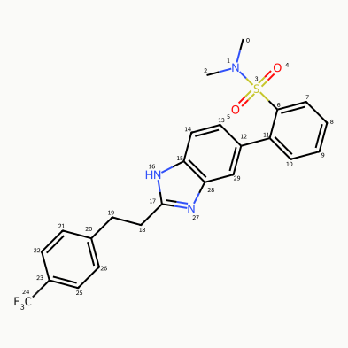 CN(C)S(=O)(=O)c1ccccc1-c1ccc2[nH]c(CCc3ccc(C(F)(F)F)cc3)nc2c1